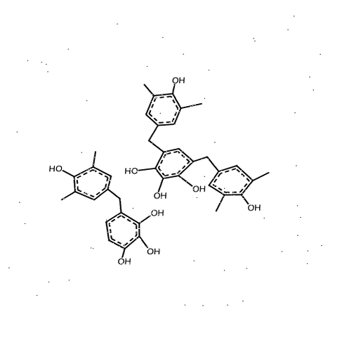 Cc1cc(Cc2cc(Cc3cc(C)c(O)c(C)c3)c(O)c(O)c2O)cc(C)c1O.Cc1cc(Cc2ccc(O)c(O)c2O)cc(C)c1O